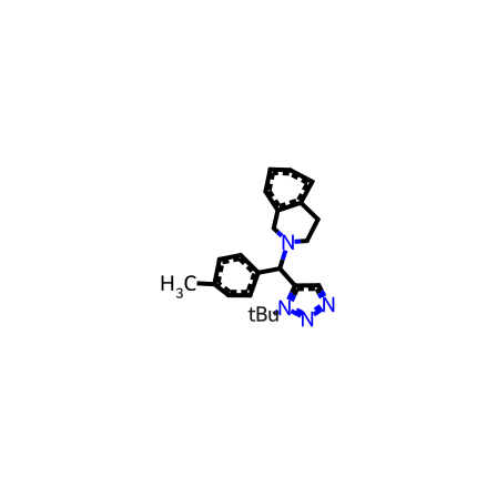 Cc1ccc(C(c2cnnn2C(C)(C)C)N2CCc3ccccc3C2)cc1